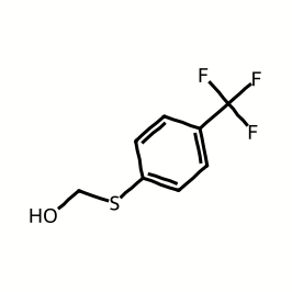 OCSc1ccc(C(F)(F)F)cc1